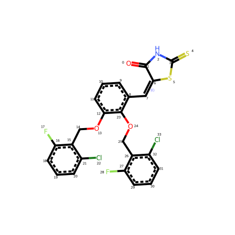 O=C1NC(=S)S/C1=C/c1cccc(OCc2c(F)cccc2Cl)c1OCc1c(F)cccc1Cl